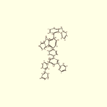 c1ccc(-c2cc(-c3ccc(-c4ccc(-c5cccc6oc7ccccc7c56)c5oc6ccccc6c45)cc3)nc(-c3cccc(-c4cccnc4)c3)n2)cc1